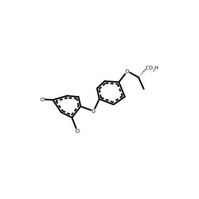 C[C@H](Oc1ccc(Oc2ccc(Cl)cc2Cl)cc1)C(=O)O